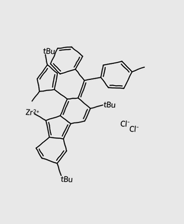 Cc1ccc(C(c2ccccc2)=c2c(C(C)(C)C)cc3c(c2C2=CC(C(C)(C)C)=CC2C)[C]([Zr+2])=c2ccc(C(C)(C)C)cc2=3)cc1.[Cl-].[Cl-]